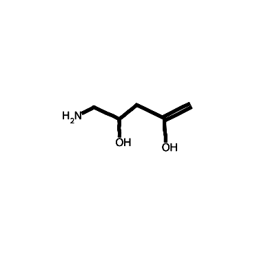 C=C(O)CC(O)CN